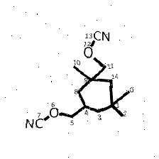 CC1(C)CC(COC#N)CC(C)(COC#N)C1